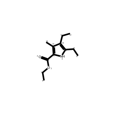 CCOC(=O)c1[nH]c(CC)c(CC)c1C